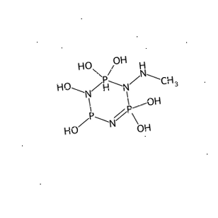 CNN1P(O)(O)=NP(O)N(O)[PH]1(O)O